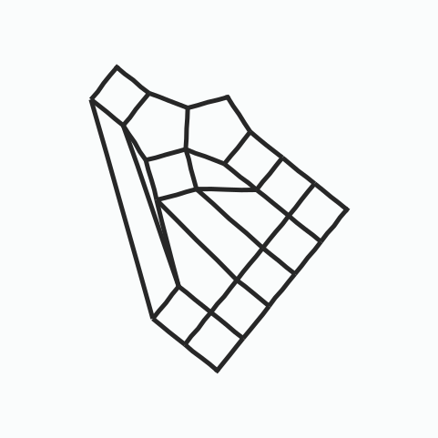 C1C2C3CC4C5C6CC7C8C9C%10CC%11C%12C1C21C2C3%13C4C53C67C84C95C%11%10C%121C25C%1334